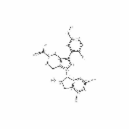 COc1ccc(F)c(-c2nn([C@@H]3c4cc(F)cc(F)c4C[C@@H]3O)c3c2CN(C(C)=O)CC3)c1